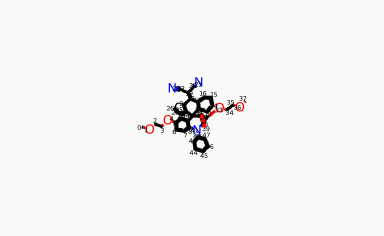 COCCOc1ccc2c(c1)C1(c3ccccc3C(=C(C#N)C#N)c3ccccc31)c1cc(OCCOC)ccc1N2c1ccccc1